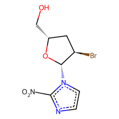 O=[N+]([O-])c1nccn1[C@@H]1O[C@H](CO)C[C@H]1Br